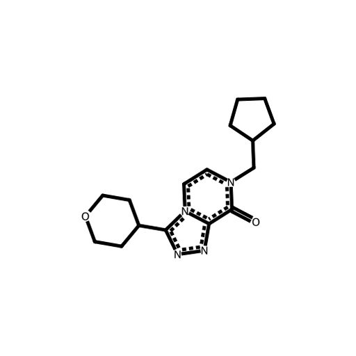 O=c1c2nnc(C3CCOCC3)n2ccn1CC1CCCC1